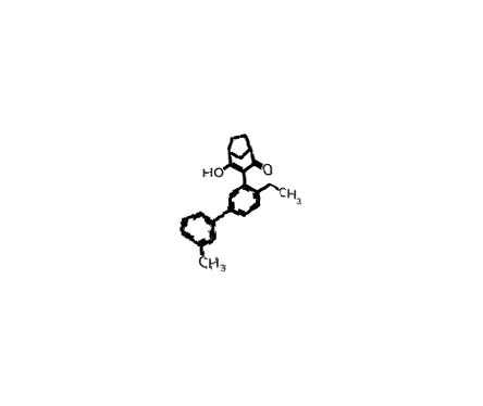 CCc1ccc(-c2cccc(C)c2)cc1C1=C(O)C2CCC(C2)C1=O